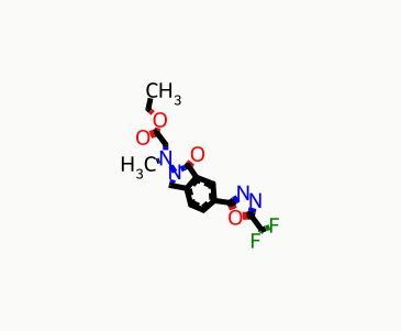 CCOC(=O)CN(C)N1Cc2ccc(-c3nnc(C(F)F)o3)cc2C1=O